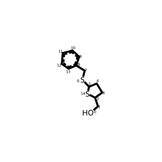 OCC1CCC(SCc2ccccc2)S1